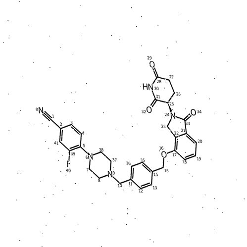 N#Cc1ccc(N2CCN(Cc3ccc(COc4cccc5c4CN([C@@H]4CCC(=O)NC4=O)C5=O)cc3)CC2)c(F)c1